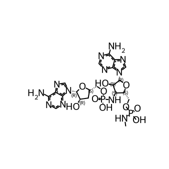 CNP(=O)(O)OC[C@H]1O[C@@H](n2cnc3c(N)ncnc32)[C@H](O)[C@@H]1NP(=O)(O)OC[C@@H]1C[C@@H](O)[C@H](n2cnc3c(N)ncnc32)O1